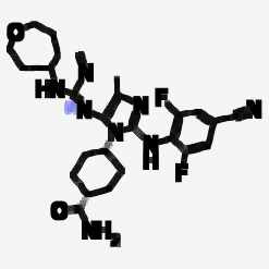 C=N/C(=N\c1c(C)nc(Nc2c(F)cc(C#N)cc2F)n1[C@H]1CC[C@@H](C(N)=O)CC1)NC1CCCOCC1